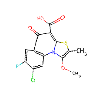 COc1c(C)sc2c(C(=O)O)c(=O)c3cc(F)c(Cl)cc3n12